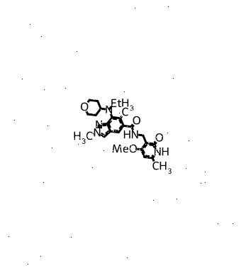 CCN(c1c(C)c(C(=O)NCc2c(OC)cc(C)[nH]c2=O)cc2cn(C)nc12)C1CCOCC1